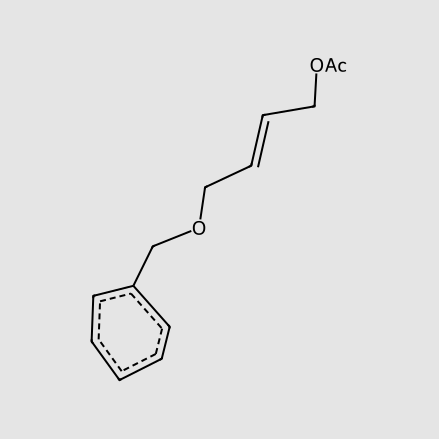 CC(=O)OCC=CCOCc1ccccc1